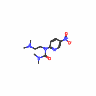 CN(C)CCN(C(=O)N(C)C)c1ccc([N+](=O)[O-])cn1